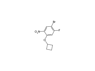 O=[N+]([O-])c1cc(Br)c(F)cc1OC1CCC1